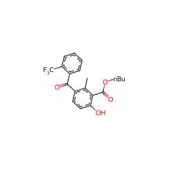 CCCCOC(=O)c1c(O)ccc(C(=O)c2ccccc2C(F)(F)F)c1C